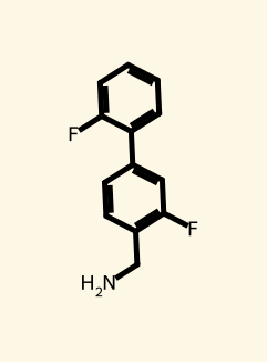 NCc1ccc(-c2ccccc2F)cc1F